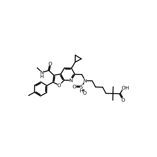 CNC(=O)c1c(-c2ccc(C)cc2)oc2nc(CN(CCCCC(C)(C)C(=O)O)[SH](=O)=O)c(C3CC3)cc12